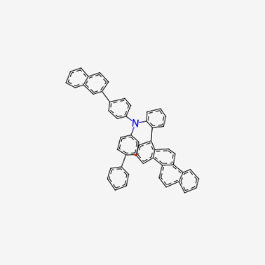 c1ccc(-c2ccc(N(c3ccc(-c4ccc5ccccc5c4)cc3)c3ccccc3-c3cccc4c3ccc3c5ccccc5ccc43)cc2)cc1